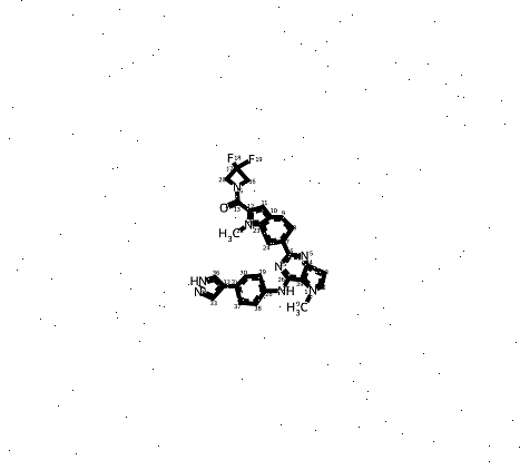 Cn1ccc2nc(-c3ccc4cc(C(=O)N5CC(F)(F)C5)n(C)c4c3)nc(Nc3ccc(-c4cn[nH]c4)cc3)c21